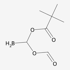 BC(OC=O)OC(=O)C(C)(C)C